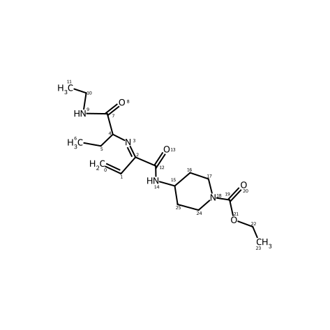 C=C/C(=N\C(CC)C(=O)NCC)C(=O)NC1CCN(C(=O)OCC)CC1